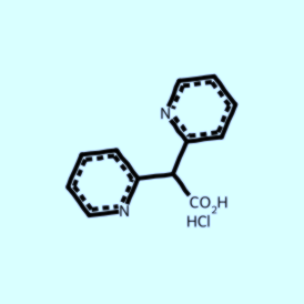 Cl.O=C(O)C(c1ccccn1)c1ccccn1